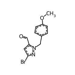 COc1ccc(Cn2nc(Br)cc2C=O)cc1